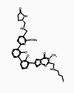 COc1nc(-c2cccc(-c3cccc(-c4cc5c(=O)n(C)c(CNCCCF)nn5c4)c3Cl)c2Cl)ccc1CNC[C@H]1CCC(=O)N1